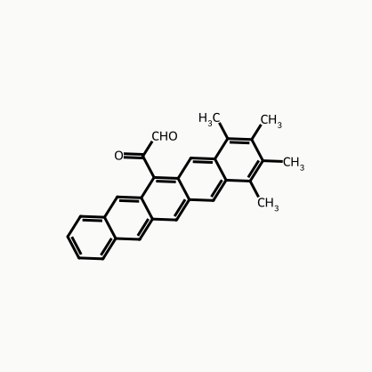 Cc1c(C)c(C)c2cc3c(C(=O)C=O)c4cc5ccccc5cc4cc3cc2c1C